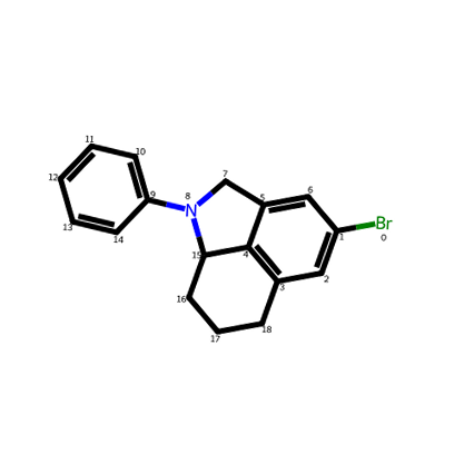 Brc1cc2c3c(c1)CN(c1ccccc1)C3CCC2